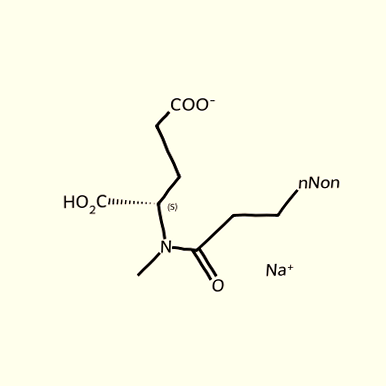 CCCCCCCCCCCC(=O)N(C)[C@@H](CCC(=O)[O-])C(=O)O.[Na+]